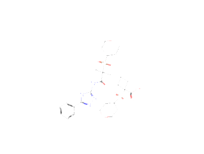 CC(C)(C(=O)Nc1nnc(-c2ccccc2)[nH]1)S(=O)(=O)C1CCOCC1.O=C(O)C1(S(=O)(=O)C2CCOCC2)CCC1